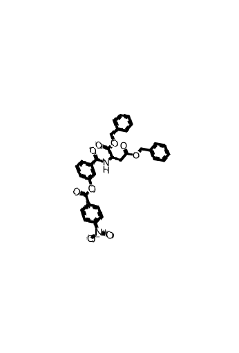 O=C(CC(NC(=O)c1cccc(OC(=O)c2ccc([N+](=O)[O-])cc2)c1)C(=O)OCc1ccccc1)OCc1ccccc1